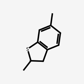 C[C]1Cc2ccc(C)cc2S1